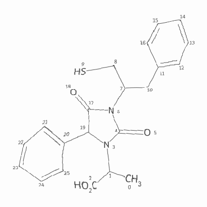 CC(C(=O)O)N1C(=O)N(C(CS)Cc2ccccc2)C(=O)C1c1ccccc1